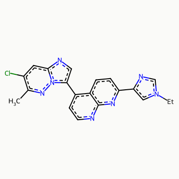 CCn1cnc(-c2ccc3c(-c4cnc5cc(Cl)c(C)nn45)ccnc3n2)c1